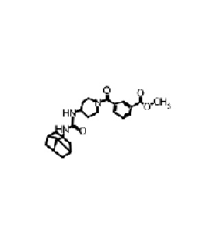 COC(=O)c1cccc(C(=O)N2CCC(NC(=O)NC34CC5CC(CC(C5)C3)C4)CC2)c1